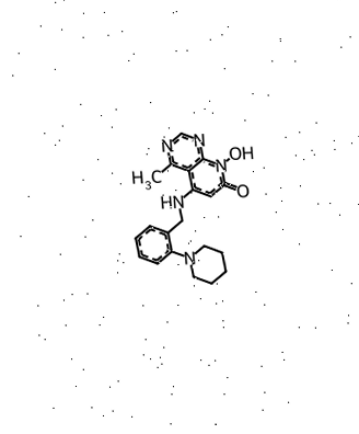 Cc1ncnc2c1c(NCc1ccccc1N1CCCCC1)cc(=O)n2O